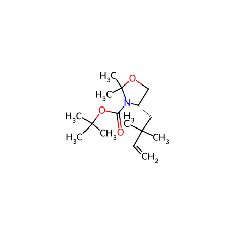 C=CC(C)(C)C[C@H]1COC(C)(C)N1C(=O)OC(C)(C)C